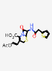 CC(=O)OC=CC1=C(C(=O)O)N2C(=O)C(NC(=O)Cc3cccs3)C2SC1